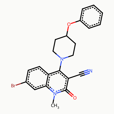 Cn1c(=O)c(C#N)c(N2CCC(Oc3ccccc3)CC2)c2ccc(Br)cc21